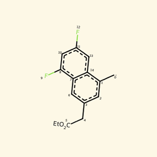 [CH2]c1cc(CC(=O)OCC)cc2c(F)cc(F)cc12